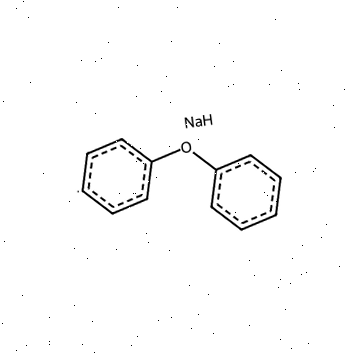 [NaH].[c]1ccc(Oc2ccccc2)cc1